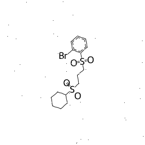 O=S(=O)(CCCS(=O)(=O)C1CCCCC1)c1ccccc1Br